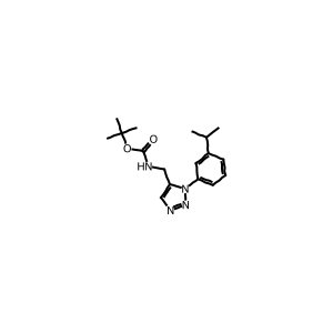 CC(C)c1cccc(-n2nncc2CNC(=O)OC(C)(C)C)c1